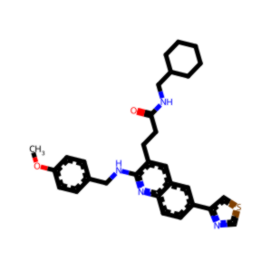 COc1ccc(CNc2nc3ccc(-c4cscn4)cc3cc2CCC(=O)NCC2CCCCC2)cc1